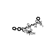 C[C@H](NC(=O)NCCCCC(=O)NCC(=O)NC(CC(=O)O)c1ccc(-c2ccccc2)cc1)c1ccccc1.O=C(O)C(F)(F)F